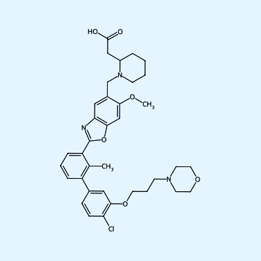 COc1cc2oc(-c3cccc(-c4ccc(Cl)c(OCCCN5CCOCC5)c4)c3C)nc2cc1CN1CCCCC1CC(=O)O